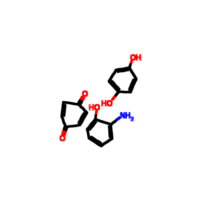 Nc1ccccc1O.O=C1C=CC(=O)C=C1.Oc1ccc(O)cc1